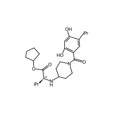 CC(C)c1cc(C(=O)N2CCC(N[C@H](C(=O)OC3CCCC3)C(C)C)CC2)c(O)cc1O